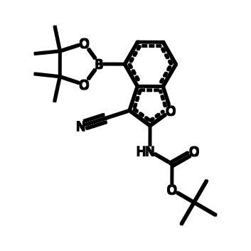 CC(C)(C)OC(=O)Nc1oc2cccc(B3OC(C)(C)C(C)(C)O3)c2c1C#N